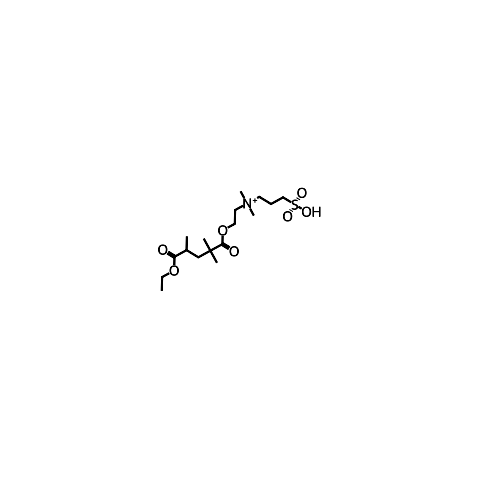 CCOC(=O)C(C)CC(C)(C)C(=O)OCC[N+](C)(C)CCCS(=O)(=O)O